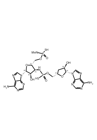 CNP(=O)(S)OC[C@H]1O[C@@H](n2cnc3c(N)ncnc32)[C@H](O)[C@@H]1NP(=O)(S)OC[C@@H]1C[C@@H](O)[C@H](n2cnc3c(N)ncnc32)O1